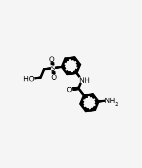 Nc1cccc(C(=O)Nc2cccc(S(=O)(=O)CCO)c2)c1